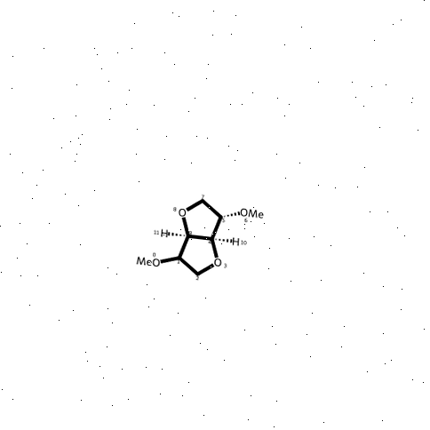 COC1CO[C@@H]2[C@@H](OC)CO[C@H]12